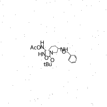 CC(=O)ONC(=N)[C@@H]1CC[C@@H](NOCc2ccccc2)CN1C(=O)OC(C)(C)C